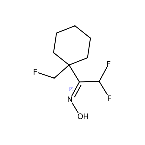 O/N=C(\C(F)F)C1(CF)CCCCC1